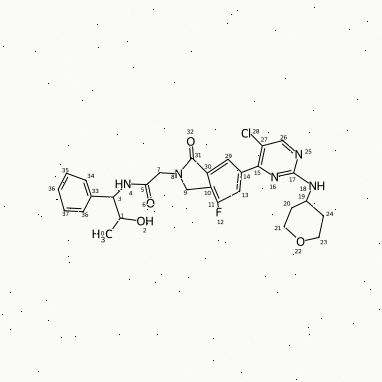 CC(O)C(NC(=O)CN1Cc2c(F)cc(-c3nc(NC4CCOCC4)ncc3Cl)cc2C1=O)c1ccccc1